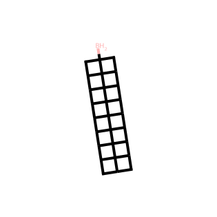 BC12CC3C4C5C6C7C8C9CC%10CC%11C%12C%13C%14C%15C%16C(C1)C32C4%16C5%15C6%14C7%13C8%12C%109%11